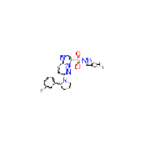 CCNS(=O)(=O)c1cnc2ccc(N3CCCC3c3cccc(F)c3)nn12